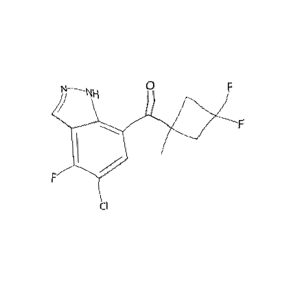 CC1(C(=O)c2cc(Cl)c(F)c3cn[nH]c23)CC(F)(F)C1